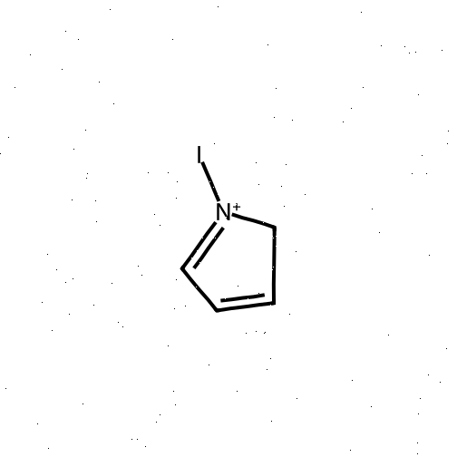 I[N+]1=CC=CC1